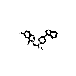 CC(Cn1cnc2ccc(Cl)cc2c1=O)N1CCC(c2c[nH]c3ccccc23)CC1